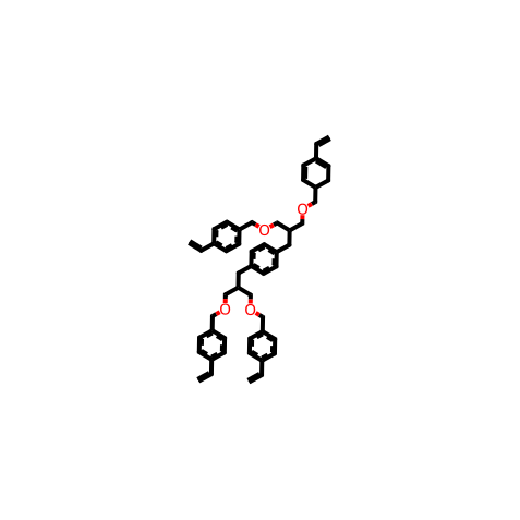 C=CC1=CCC(COCC(COCc2ccc(C=C)cc2)Cc2ccc(CC(COCc3ccc(C=C)cc3)COCc3ccc(C=C)cc3)cc2)C=C1